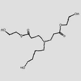 O=C(CCN(CCCCO)CCC(=O)OCCO)OCCO